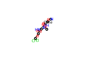 COC(=O)[C@H](Cc1ccc(Oc2ccncc2)cc1)NC(=O)C1Cc2cc3c(cc2CN1C(=O)c1ccccc1)O[C@@H](c1ccc(OCc2ccc(Cl)c(Cl)c2)cc1)C(=O)N3